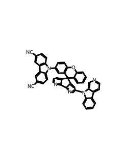 N#Cc1ccc2c(c1)c1cc(C#N)ccc1n2-c1ccc2c(c1)C1(c3ccccc3O2)c2cccnc2-c2ncc(-n3c4ccccc4c4ccncc43)cc21